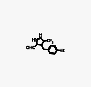 CCc1ccc(CC2C(C=O)NNC2C(F)(F)F)cc1